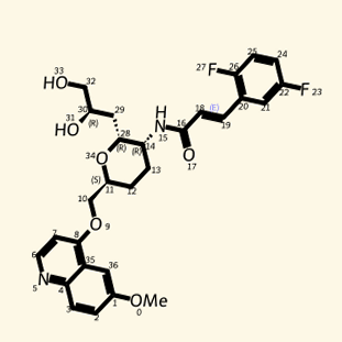 COc1ccc2nccc(OC[C@@H]3CC[C@@H](NC(=O)/C=C/c4cc(F)ccc4F)[C@@H](C[C@@H](O)CO)O3)c2c1